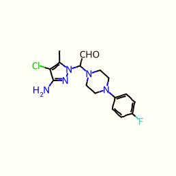 Cc1c(Cl)c(N)nn1C(C=O)N1CCN(c2ccc(F)cc2)CC1